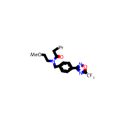 COCCN(Cc1ccc(-c2noc(C(F)(F)F)n2)cc1)C(=O)CC(C)C